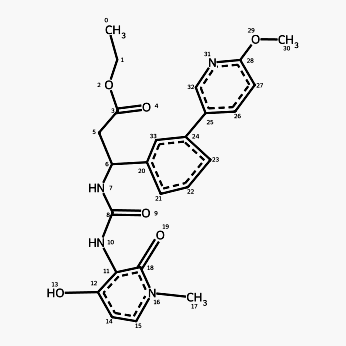 CCOC(=O)CC(NC(=O)Nc1c(O)ccn(C)c1=O)c1cccc(-c2ccc(OC)nc2)c1